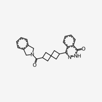 O=C(C1CC2(C1)CC(c1n[nH]c(=O)c3ccccc13)C2)N1Cc2ccccc2C1